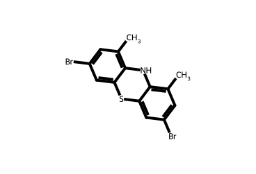 Cc1cc(Br)cc2c1Nc1c(C)cc(Br)cc1S2